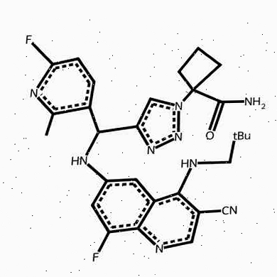 Cc1nc(F)ccc1C(Nc1cc(F)c2ncc(C#N)c(NCC(C)(C)C)c2c1)c1cn(C2(C(N)=O)CCC2)nn1